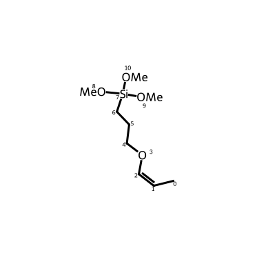 C/C=C\OCCC[Si](OC)(OC)OC